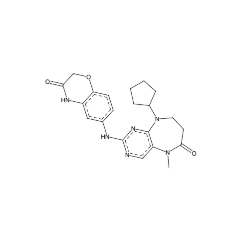 CN1C(=O)CCN(C2CCCC2)c2nc(Nc3ccc4c(c3)NC(=O)CO4)ncc21